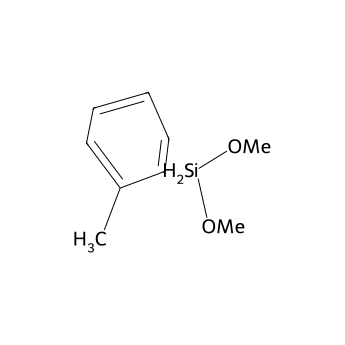 CO[SiH2]OC.Cc1ccccc1